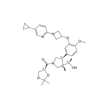 COc1ccc([C@@H]2CN(C(=O)[C@@H]3COC(C)(C)O3)C[C@@]2(C)[C@@H](C)O)cc1OC1CN(c2ccc(C3CC3)cn2)C1